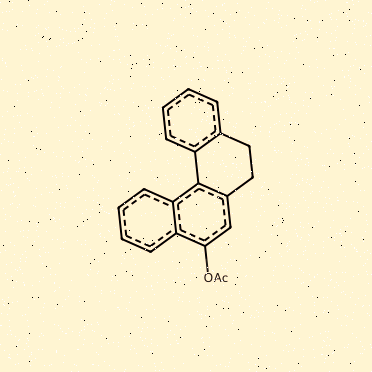 CC(=O)Oc1cc2c(c3ccccc13)-c1ccccc1CC2